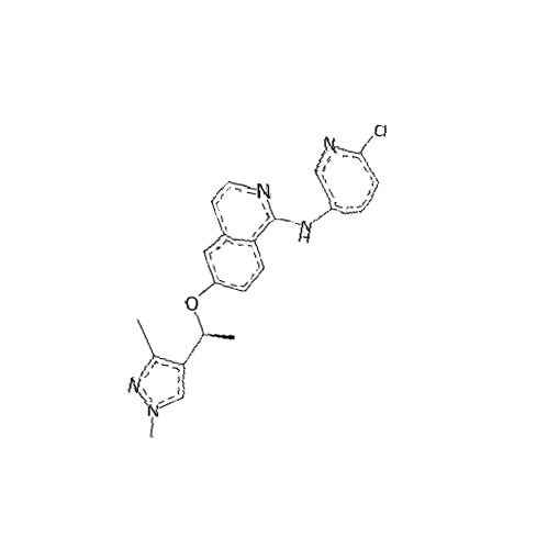 Cc1nn(C)cc1[C@H](C)Oc1ccc2c(Nc3ccc(Cl)nc3)nccc2c1